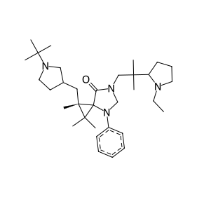 CCN1CCCC1C(C)(C)CN1CN(c2ccccc2)C2(C1=O)C(C)(C)[C@]2(C)CC1CCN(C(C)(C)C)C1